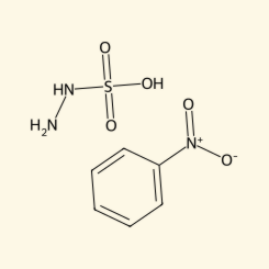 NNS(=O)(=O)O.O=[N+]([O-])c1ccccc1